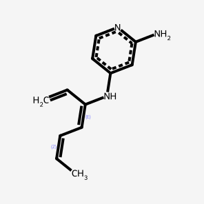 C=C/C(=C\C=C/C)Nc1ccnc(N)c1